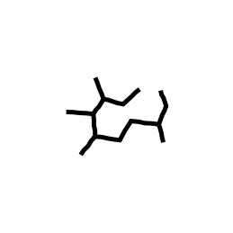 CCC(C)CC[C](C)C(C)C(C)CC